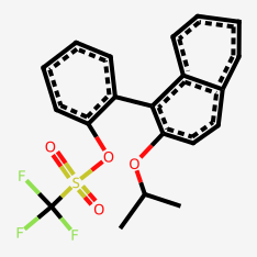 CC(C)Oc1ccc2ccccc2c1-c1ccccc1OS(=O)(=O)C(F)(F)F